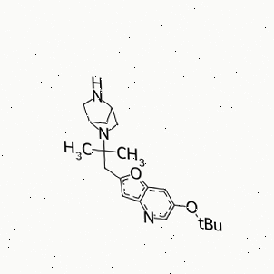 CC(C)(C)Oc1cnc2cc(CC(C)(C)N3CC4CC3CN4)oc2c1